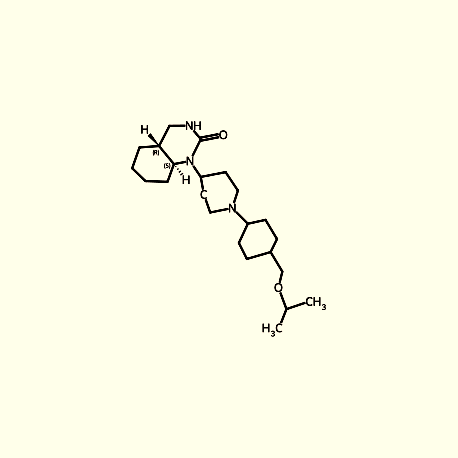 CC(C)OCC1CCC(N2CCC(N3C(=O)NC[C@H]4CCCC[C@@H]43)CC2)CC1